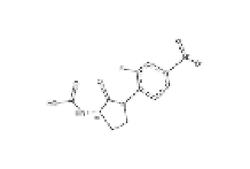 O=C(O)N[C@H]1CCN(c2ccc([N+](=O)[O-])cc2F)C1=O